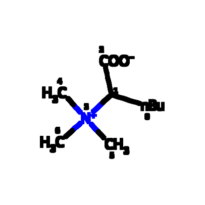 CCCCC(C(=O)[O-])[N+](C)(C)C